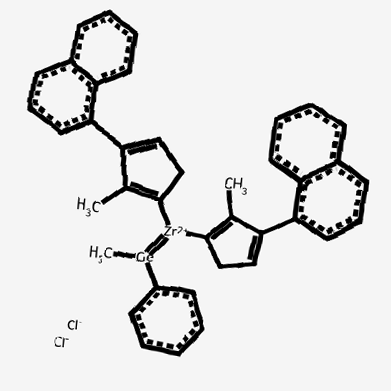 CC1=[C]([Zr+2]([C]2=C(C)C(c3cccc4ccccc34)=CC2)=[Ge]([CH3])[c]2ccccc2)CC=C1c1cccc2ccccc12.[Cl-].[Cl-]